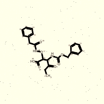 CCC(=O)C(NC(=O)OCc1ccccc1)C(ONC(=O)Cc1ccccc1)C(=O)O